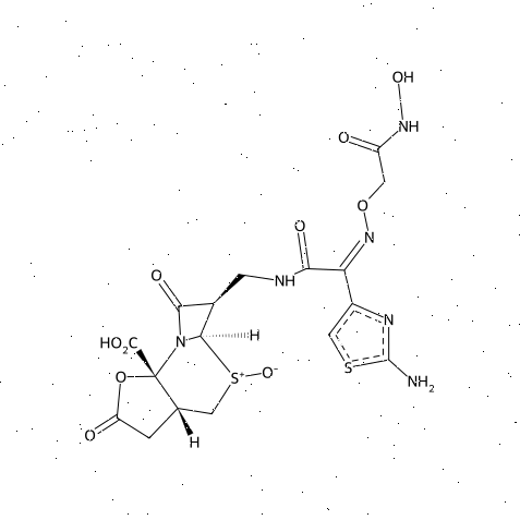 Nc1nc(/C(=N/OCC(=O)NO)C(=O)NC[C@@H]2C(=O)N3[C@@H]2[S+]([O-])C[C@@H]2CC(=O)O[C@@]23C(=O)O)cs1